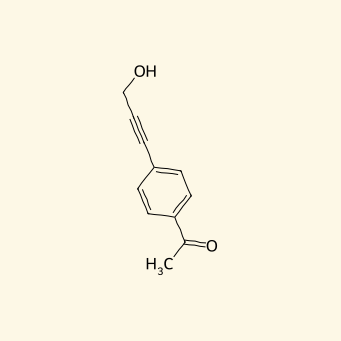 CC(=O)c1ccc(C#CCO)cc1